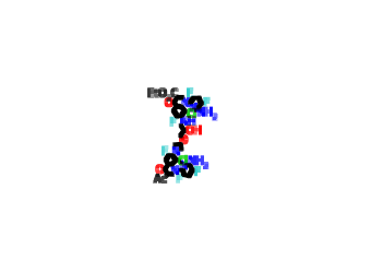 CCOC(=O)c1cn(-c2nc(N)c(F)cc2F)c2c(Cl)c(NCC(O)COC3CN(c4c(F)cc5c(=O)c(C(C)=O)cn(-c6nc(N)c(F)cc6F)c5c4Cl)C3)c(F)cc2c1=O